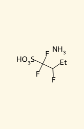 CCC(F)C(F)(F)S(=O)(=O)O.N